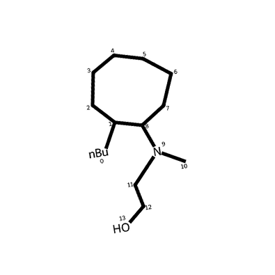 CCCCC1CCCCCCC1N(C)CCO